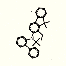 CCc1c(N(c2ccccc2-c2ccccc2)C(C)(C)C)ccc2c1C(C)(C)c1ccccc1-2